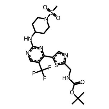 CC(C)(C)OC(=O)NCc1ncc(-c2nc(NC3CCN(S(C)(=O)=O)CC3)ncc2C(F)(F)F)s1